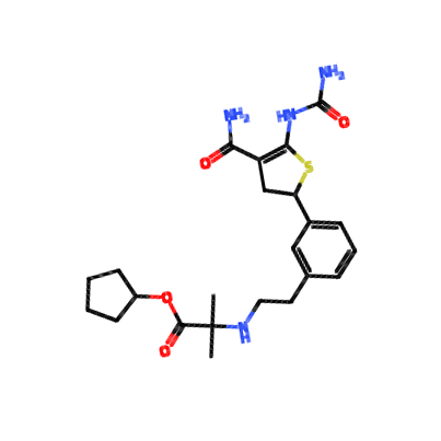 CC(C)(NCCc1cccc(C2CC(C(N)=O)=C(NC(N)=O)S2)c1)C(=O)OC1CCCC1